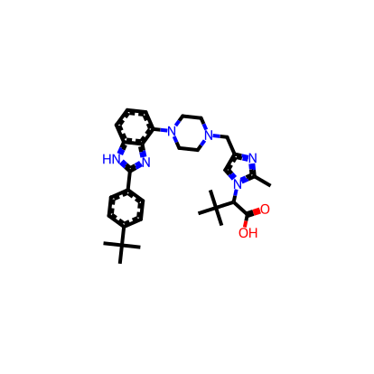 Cc1nc(CN2CCN(c3cccc4[nH]c(-c5ccc(C(C)(C)C)cc5)nc34)CC2)cn1C(C(=O)O)C(C)(C)C